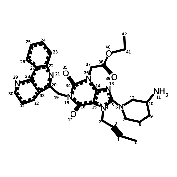 CC#CCn1c(N2CCCC(N)C2)nc2c1c(=O)n(Cc1nc3ccccc3c3ncccc13)c(=O)n2CC(=O)OCC